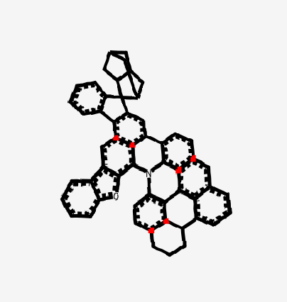 c1ccc(N(c2ccccc2-c2cccc3cccc(C4CCCCC4)c23)c2cccc3c2oc2ccccc23)c(-c2ccc3c(c2)C2(c4ccccc4-3)C3CC4CC(C3)C2C4)c1